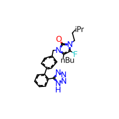 CCCCc1c(F)n(CCC(C)C)c(=O)n1Cc1ccc(-c2ccccc2-c2nnn[nH]2)cc1